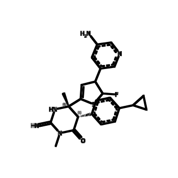 CN1C(=N)N[C@](C)(C2=CC(c3cncc(N)c3)C(F)S2)[C@H](c2ccc(C3CC3)cc2)C1=O